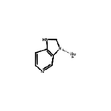 CC[C@@H](C)N1CNc2ccncc21